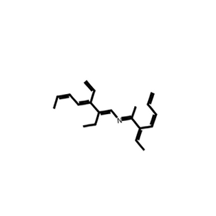 C=C\C=C/C(=C\C)C(/C)=N/C=C(CC)/C(C=C)=C/C=C\C